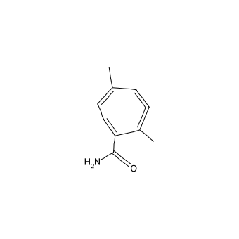 CC1=C=CC(C)=CC=C1C(N)=O